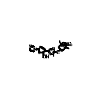 CO[C@@H]1C[C@@]2(C)C[C@H](Oc3ncc(-c4ccc(-n5ccnc5)cc4O)nn3)C[C@]1(C)N2